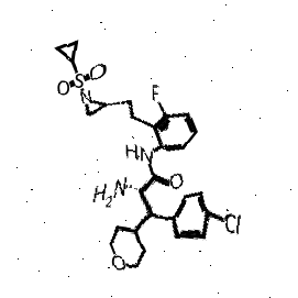 N[C@H](C(=O)Nc1cccc(F)c1CC[C@H]1CN1S(=O)(=O)C1CC1)C(c1ccc(Cl)cc1)C1CCOCC1